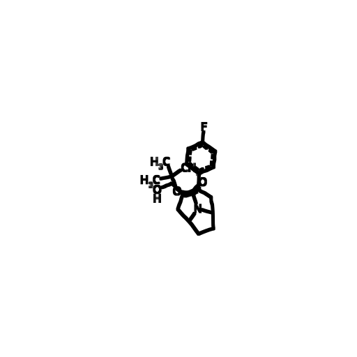 CC(C)(C)OC(=O)N1C2CCC1CC(c1ccc(F)cc1)=C(CO)C2